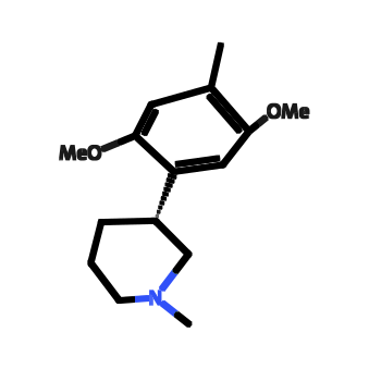 COc1cc([C@H]2CCCN(C)C2)c(OC)cc1C